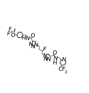 O=C(NCc1ccc(OC(F)(F)I)cc1)c1cn(CCC(F)Cn2cc(C(=O)NCc3cc(C(F)(F)F)ccn3)nn2)nn1